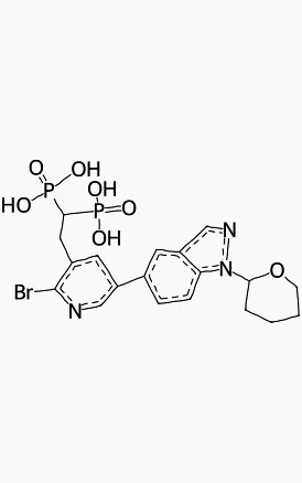 O=P(O)(O)C(Cc1cc(-c2ccc3c(cnn3C3CCCCO3)c2)cnc1Br)P(=O)(O)O